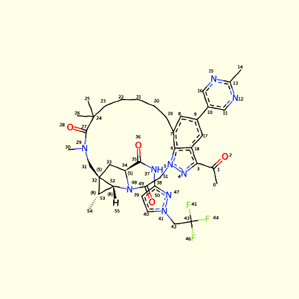 CC(=O)c1nn2c3c(cc(-c4cnc(C)nc4)cc13)CCCCCC(C)(C)C(=O)N(C)C[C@@]13C[C@@H](C(=O)Nc4ccn(CC(F)(F)F)n4)N(C(=O)C2)[C@@H]1[C@@H]3C